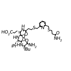 CC[C@H](C)[C@H](NC(=O)[C@H](CC(C)C)NC(=O)[C@H](CCC(=O)O)NC(=O)CCSCc1cccc(CSCCC(N)=O)n1)C(N)=O